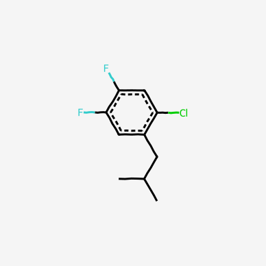 CC(C)Cc1cc(F)c(F)cc1Cl